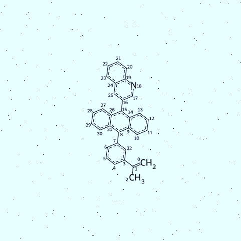 C=C(C)c1cccc(-c2c3ccccc3c(-c3cnc4ccccc4c3)c3ccccc23)c1